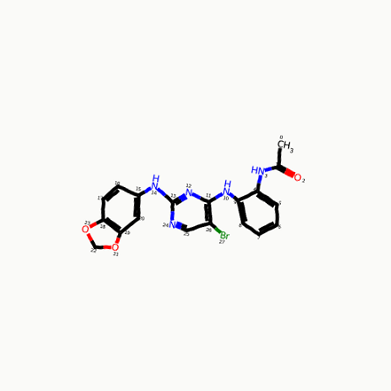 CC(=O)Nc1ccccc1Nc1nc(Nc2ccc3c(c2)OCO3)ncc1Br